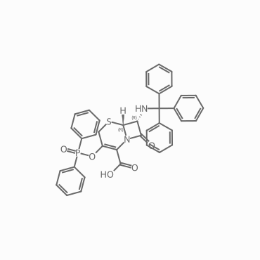 O=C(O)C1=C(OP(=O)(c2ccccc2)c2ccccc2)CS[C@@H]2[C@H](NC(c3ccccc3)(c3ccccc3)c3ccccc3)C(=O)N12